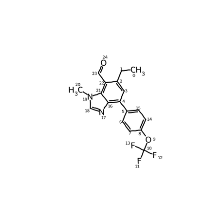 CCc1cc(-c2ccc(OC(F)(F)F)cc2)c2ncn(C)c2c1C=O